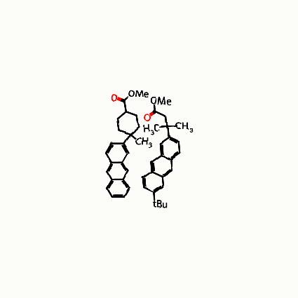 COC(=O)C1CCC(C)(c2ccc3cc4ccccc4cc3c2)CC1.COC(=O)CC(C)(C)c1ccc2cc3cc(C(C)(C)C)ccc3cc2c1